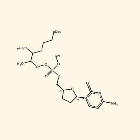 CCCCCCCCCCCCSC(CCCCCCC)C(C)OOP(=O)(OCCC)OC[C@@H]1CC[C@H](n2ccc(N)nc2=O)O1